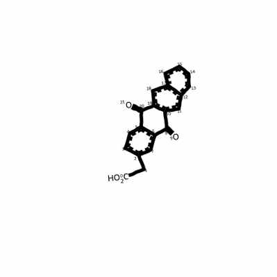 O=C(O)Cc1ccc2c(c1)C(=O)c1cc3ccccc3cc1C2=O